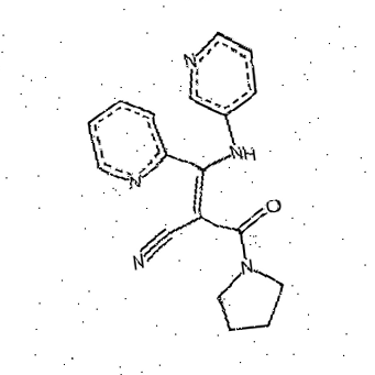 N#CC(C(=O)N1CCCC1)=C(Nc1cccnc1)c1ccccn1